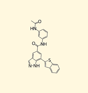 CC(=O)Nc1cccc(NC(=O)c2cc(-c3cc4ccccc4s3)c3[nH]ncc3c2)c1